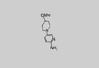 COC1CCN(c2ccc(N)nc2)CC1